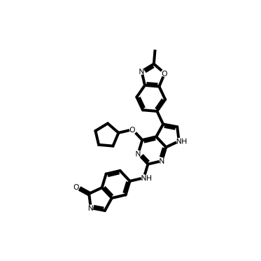 Cc1nc2ccc(-c3c[nH]c4nc(Nc5ccc6c(c5)C=NC6=O)nc(OC5CCCC5)c34)cc2o1